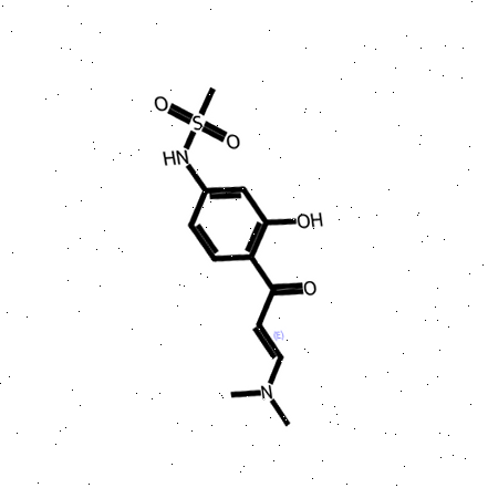 CN(C)/C=C/C(=O)c1ccc(NS(C)(=O)=O)cc1O